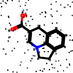 O=C(O)C1=CN2CCc3cccc(c32)C1